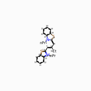 CCCN1C(=CC(=Cc2sc3ccccc3[n+]2CCC)CC)Sc2ccccc21